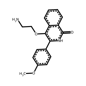 COc1ccc(-c2[nH]c(=O)c3ccccc3c2OCCN)cc1